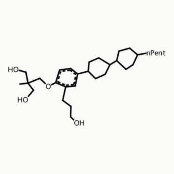 CCCCCC1CCC(C2CCC(c3ccc(OCC(C)(CO)CO)c(CCCO)c3)CC2)CC1